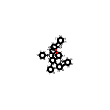 c1ccc(-c2cc3c(cc2-c2cccc4c5ccccc5n(-c5ccc(-c6cccc7c6oc6ccccc67)cc5)c24)c2ccccc2n3-c2ccccc2)cc1